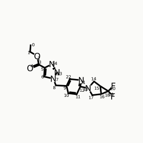 CCOC(=O)c1cn(Cc2ccc(N3CC4C(C3)C4(F)F)nc2)nn1